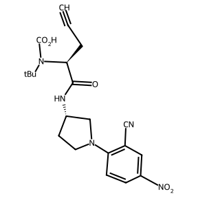 C#CC[C@@H](C(=O)N[C@H]1CCN(c2ccc([N+](=O)[O-])cc2C#N)C1)N(C(=O)O)C(C)(C)C